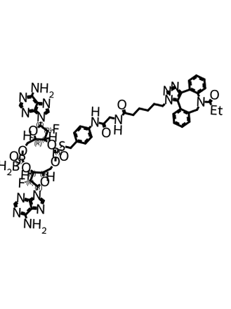 B[P@]1(=O)OC[C@H]2O[C@@H](n3cnc4c(N)ncnc43)[C@H](F)[C@@H]2O[P@](=O)(SCc2ccc(NC(=O)CNC(=O)CCCCCn3nnc4c3-c3ccccc3CN(C(=O)CC)c3ccccc3-4)cc2)OC[C@H]2O[C@@H](n3cnc4c(N)ncnc43)[C@H](F)[C@@H]2O1